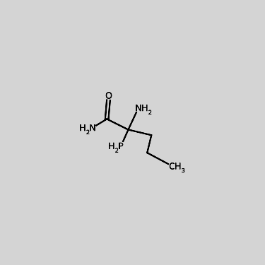 CCCC(N)(P)C(N)=O